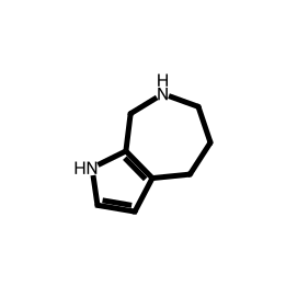 c1cc2c([nH]1)CNCCC2